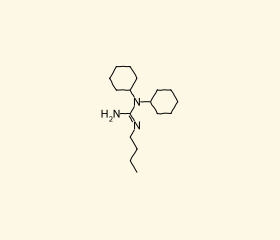 CCCCN=C(N)N(C1CCCCC1)C1CCCCC1